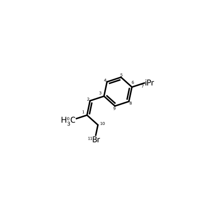 C/C(=C/c1ccc(C(C)C)cc1)CBr